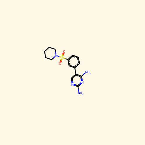 Nc1ncc(-c2cccc(S(=O)(=O)N3CCCCC3)c2)c(N)n1